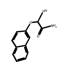 CCCC(Oc1ccc2ccccc2c1)C(N)=O